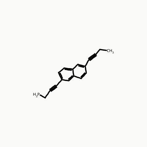 CCC#Cc1ccc2cc(C#CCP)ccc2c1